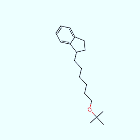 CC(C)(C)OCCCCCCC1CCc2ccccc21